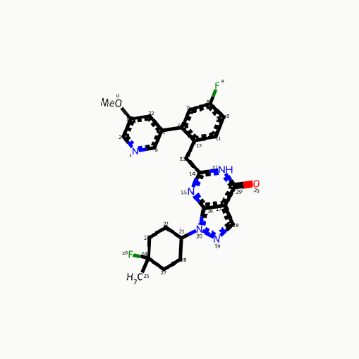 COc1cncc(-c2cc(F)ccc2Cc2nc3c(cnn3C3CCC(C)(F)CC3)c(=O)[nH]2)c1